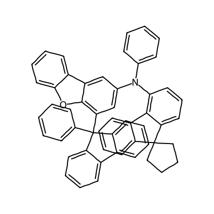 c1ccc(N(c2cc(C3(c4ccccc4)c4ccccc4-c4ccccc43)c3oc4ccccc4c3c2)c2cccc3c2-c2ccccc2C32CCCC2)cc1